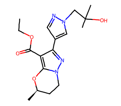 CCOC(=O)c1c(-c2cnn(CC(C)(C)O)c2)nn2c1O[C@H](C)CC2